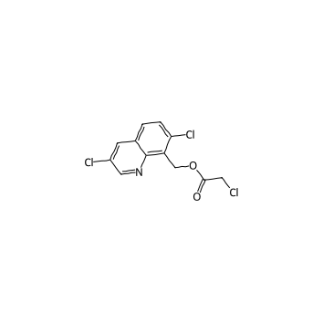 O=C(CCl)OCc1c(Cl)ccc2cc(Cl)cnc12